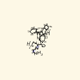 C=C/C(=N\C=C/N)C(=O)N1CCC2(CC1)Nc1ccccc1N=C2NC1CCCC1